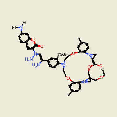 CCN(CC)c1ccc2cc(N(N)/C=C(\N)c3ccc(N4CCOc5cc(C)ccc5N5C/C5=C5\OCCOCC6(CO5)CN6c5ccc(C)cc5OCC4)c(OC)c3)c(=O)oc2c1